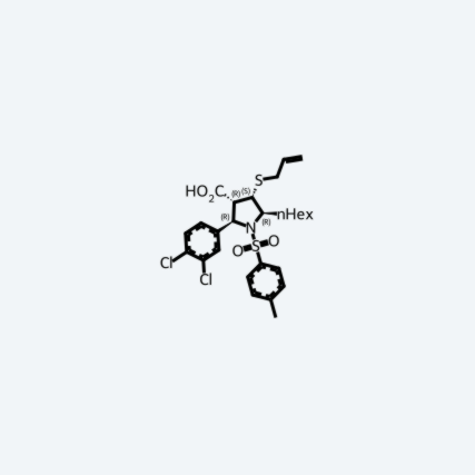 C=CCS[C@H]1[C@@H](C(=O)O)[C@H](c2ccc(Cl)c(Cl)c2)N(S(=O)(=O)c2ccc(C)cc2)[C@@H]1CCCCCC